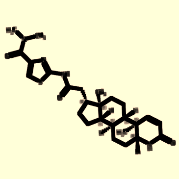 CN(C)C(=O)c1csc(NC(=O)C[C@H]2CC[C@H]3[C@@H]4CC[C@H]5NC(=O)C=C[C@]5(C)[C@H]4CC[C@]23C)n1